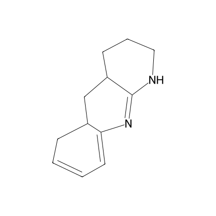 C1=CCC2CC3CCCNC3=NC2=C1